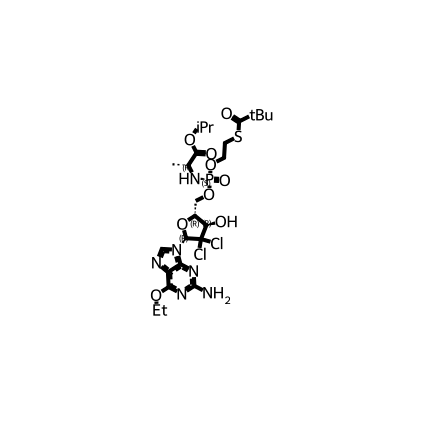 CCOc1nc(N)nc2c1ncn2[C@@H]1O[C@H](CO[P@@](=O)(N[C@H](C)C(=O)OC(C)C)OCCSC(=O)C(C)(C)C)[C@@H](O)C1(Cl)Cl